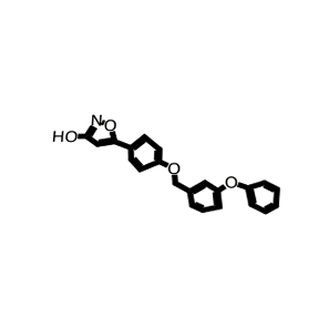 Oc1cc(-c2ccc(OCc3cccc(Oc4ccccc4)c3)cc2)on1